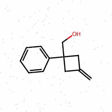 C=C1CC(CO)(c2ccccc2)C1